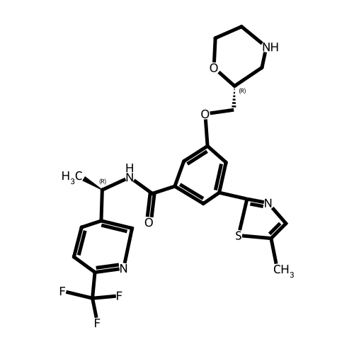 Cc1cnc(-c2cc(OC[C@H]3CNCCO3)cc(C(=O)N[C@H](C)c3ccc(C(F)(F)F)nc3)c2)s1